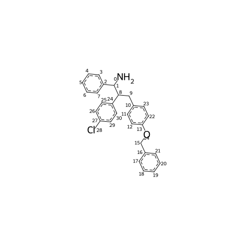 NC(c1ccccc1)C(Cc1ccc(OCc2ccccc2)cc1)c1ccc(Cl)cc1